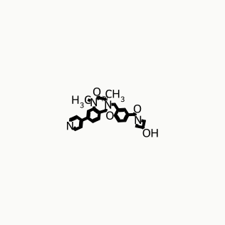 C[C@@H]1C(=O)N(C)c2cc(-c3ccncc3)ccc2C(=O)N1Cc1cccc(C(=O)N2CC(O)C2)c1